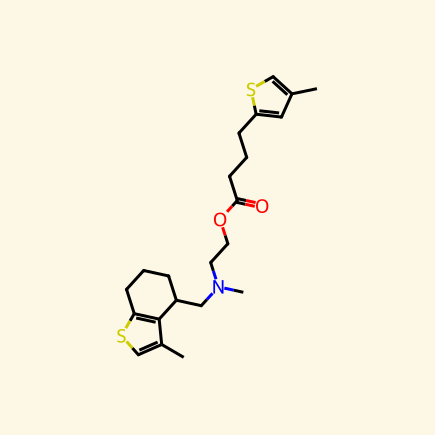 Cc1csc(CCCC(=O)OCCN(C)CC2CCCc3scc(C)c32)c1